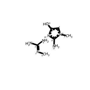 CN=C(N)N.Cn1cc(O)nc1N